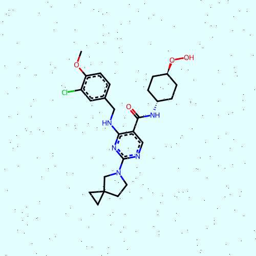 COc1ccc(CNc2nc(N3CCC4(CC4)C3)ncc2C(=O)N[C@H]2CC[C@H](OO)CC2)cc1Cl